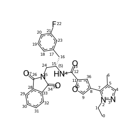 CCn1ncc(C)c1-c1coc(C(=O)N[C@@H](Cc2cccc(F)c2)CN2C(=O)c3ccccc3C2=O)c1